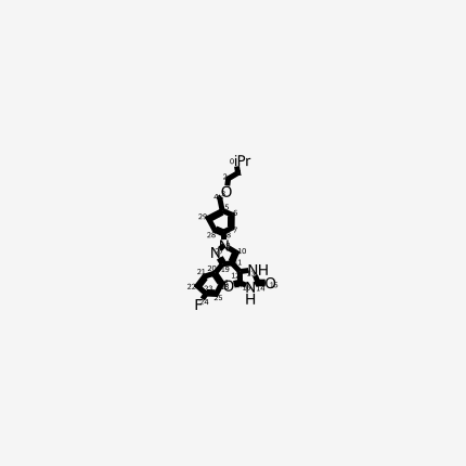 CC(C)CCOCc1ccc(-n2cc(C3NC(=O)NC3=O)c(-c3ccc(F)cc3)n2)cc1